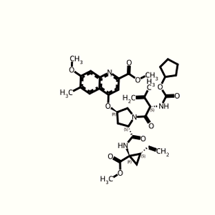 C=C[C@@H]1C[C@]1(NC(=O)[C@@H]1C[C@@H](Oc2cc(C(=O)OC)nc3cc(OC)c(C)cc23)CN1C(=O)[C@@H](NC(=O)OC1CCCC1)C(=C)C)C(=O)OC